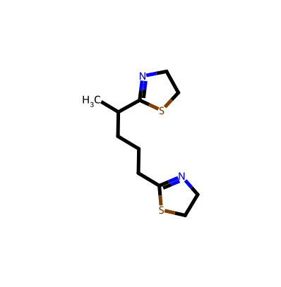 CC(CCCC1=NCCS1)C1=NCCS1